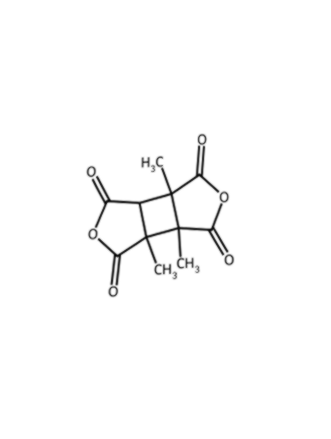 CC12C(=O)OC(=O)C1C1(C)C(=O)OC(=O)C21C